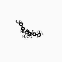 Cc1cc(-c2ncccc2C)ccc1-c1cc2cnc(Nc3ccc(C4CCN(C)CC4)cc3)nc2n(C)c1=O